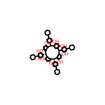 Oc1cc(O)c2cc1C(c1ccc(C3CCCCC3)cc1)c1cc(c(O)cc1O)[C@H](c1ccc(C3CCCCC3)cc1)c1cc(c(O)cc1O)[C@H](c1ccc(C3CCCCC3)cc1)c1cc(c(O)cc1O)C2c1ccc(C2CCCCC2)cc1